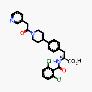 O=C(N[C@@H](Cc1ccc(C2=CCN(C(=O)Cc3cccnc3)CC2)cc1)C(=O)O)c1c(Cl)cccc1Cl